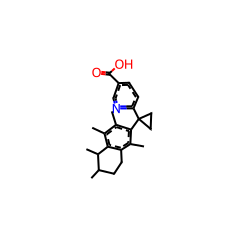 Cc1c(C)c(C2(c3ccc(C(=O)O)cn3)CC2)c(C)c2c1C(C)C(C)CC2